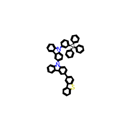 c1ccc([Si](c2ccccc2)(c2ccccc2)c2cccc(-n3c4ccccc4c4cc(-n5c6ccccc6c6cc(-c7ccc8sc9ccccc9c8c7)ccc65)ccc43)c2)cc1